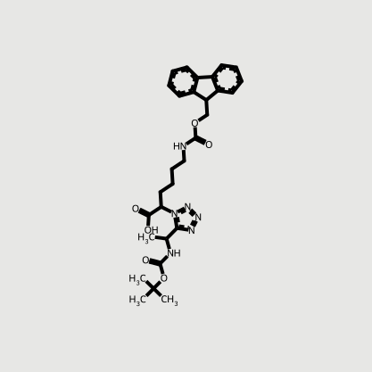 CC(NC(=O)OC(C)(C)C)c1nnnn1C(CCCCNC(=O)OCC1c2ccccc2-c2ccccc21)C(=O)O